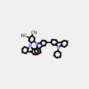 N#Cc1cc(-n2c3ccccc3c3ccccc32)c(-n2c3ccccc3c3cc(-c4ccc5c6ccccc6n(-c6ccccc6)c5c4)ccc32)cc1C#N